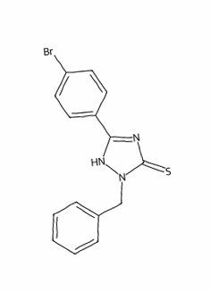 S=c1nc(-c2ccc(Br)cc2)[nH]n1Cc1ccccc1